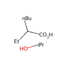 CC(C)O.CCCCC(CC)C(=O)O